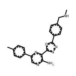 CNCc1ccc(-c2nnc(-c3nc(-c4ccc(C)cc4)cnc3N)o2)cc1